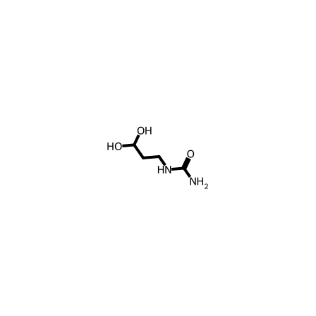 NC(=O)NCCC(O)O